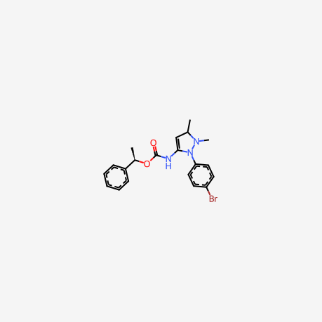 CC1C=C(NC(=O)O[C@H](C)c2ccccc2)N(c2ccc(Br)cc2)N1C